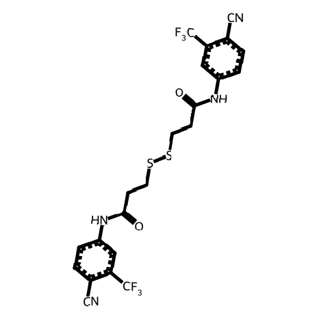 N#Cc1ccc(NC(=O)CCSSCCC(=O)Nc2ccc(C#N)c(C(F)(F)F)c2)cc1C(F)(F)F